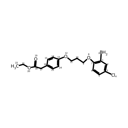 Bc1cc(Cl)ccc1OCCCOc1ccc(CC(=O)OCC)cc1